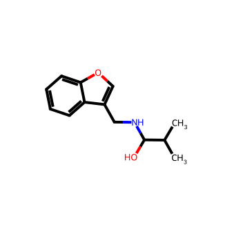 CC(C)C(O)NCc1coc2ccccc12